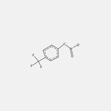 O=[N+]([O-])[CH-]c1ccc(C(F)(F)F)cc1